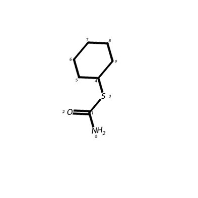 NC(=O)SC1CCCCC1